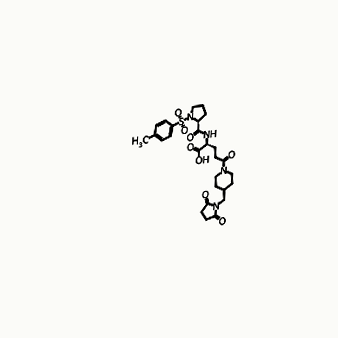 Cc1ccc(S(=O)(=O)N2CCC[C@H]2C(=O)N[C@@H](CCC(=O)N2CCC(CN3C(=O)CCC3=O)CC2)C(=O)O)cc1